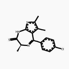 Cc1sc2c(c1C)C(c1ccc(Cl)cc1)=N[C@@H](C)C(=S)N2